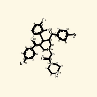 Cc1c(F)cccc1C1C(C(=O)c2ccc(Br)cc2)CN(CC(=O)N2CCNCC2)CC1C(=O)c1ccc(Br)cc1